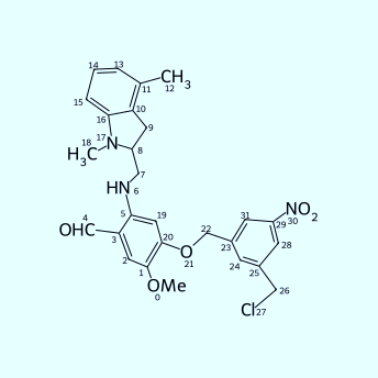 COc1cc(C=O)c(NCC2Cc3c(C)cccc3N2C)cc1OCc1cc(CCl)cc([N+](=O)[O-])c1